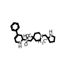 CC1(CS(=O)(=O)C2CC(c3ccccc3)=CCN2)CCN(C[C@]2(C)CCCN2)CC1